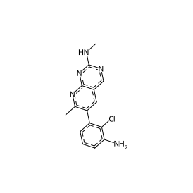 CNc1ncc2cc(-c3cccc(N)c3Cl)c(C)nc2n1